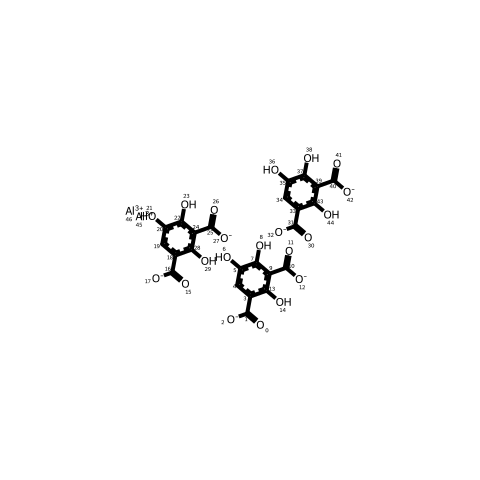 O=C([O-])c1cc(O)c(O)c(C(=O)[O-])c1O.O=C([O-])c1cc(O)c(O)c(C(=O)[O-])c1O.O=C([O-])c1cc(O)c(O)c(C(=O)[O-])c1O.[Al+3].[Al+3]